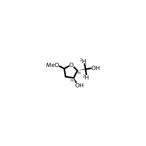 [2H]C([2H])(O)[C@H]1OC(OC)C[C@@H]1O